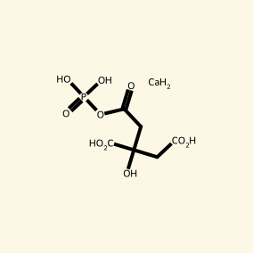 O=C(O)CC(O)(CC(=O)OP(=O)(O)O)C(=O)O.[CaH2]